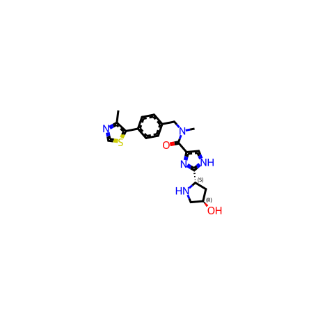 Cc1ncsc1-c1ccc(CN(C)C(=O)c2c[nH]c([C@@H]3C[C@@H](O)CN3)n2)cc1